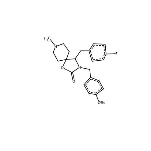 CC(C)COc1ccc(CN2C(=O)OC3(CCN(C)CC3)C2Cc2ccc(F)cc2)cc1